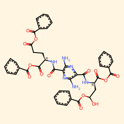 Nc1nc(C(=O)N[C@H](CC(O)OC(=O)c2ccccc2)C(=O)OC(=O)c2ccccc2)c(N)nc1C(=O)N[C@H](CCC(=O)OC(=O)c1ccccc1)C(=O)OC(=O)c1ccccc1